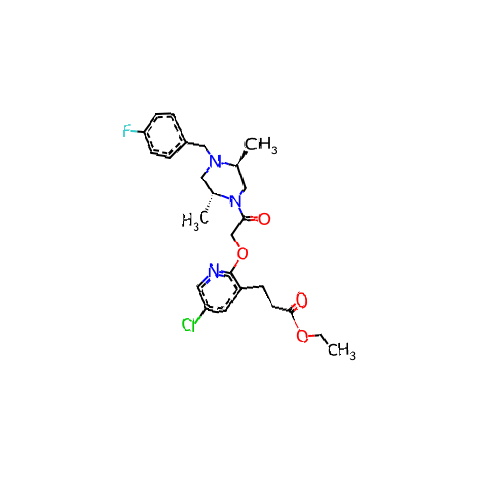 CCOC(=O)CCc1cc(Cl)cnc1OCC(=O)N1C[C@H](C)N(Cc2ccc(F)cc2)C[C@H]1C